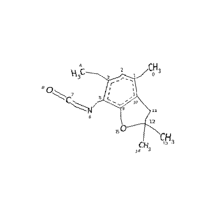 Cc1cc(C)c(N=C=O)c2c1CC(C)(C)O2